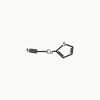 N#[C][Cu][c]1cccs1